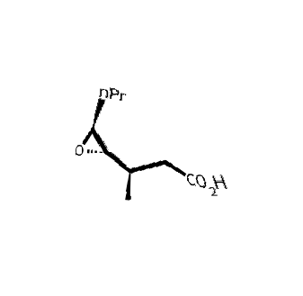 CCC[C@@H]1O[C@H]1[C@H](C)CC(=O)O